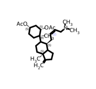 C=C1CCC2[C@H](C/C=C\CN(C)C)C([C@@]3(C)CC[C@H](OC(C)=O)C[C@@H]3OC(C)=O)CC[C@]12C